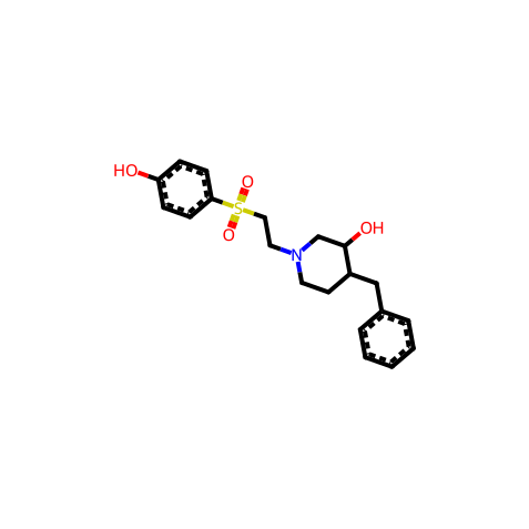 O=S(=O)(CCN1CCC(Cc2ccccc2)C(O)C1)c1ccc(O)cc1